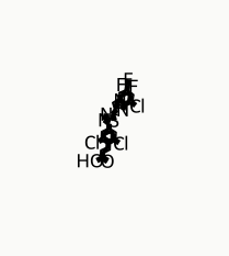 O=C(O)CCc1c(Cl)cc(-c2nnc(-c3cn4cc(C(F)(F)F)cc(Cl)c4n3)s2)cc1Cl